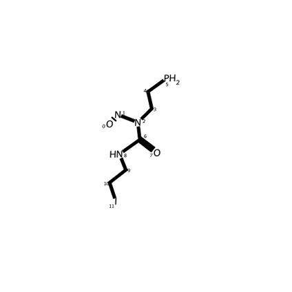 O=NN(CCP)C(=O)NCCI